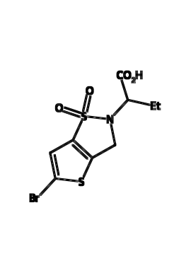 CCC(C(=O)O)N1Cc2sc(Br)cc2S1(=O)=O